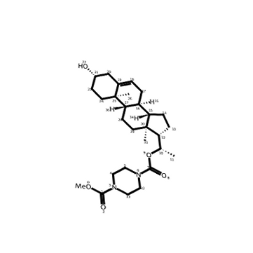 COC(=O)N1CCN(C(=O)O[C@@H](C)[C@H]2CC[C@H]3[C@@H]4CC=C5C[C@@H](O)CC[C@]5(C)[C@H]4CC[C@]23C)CC1